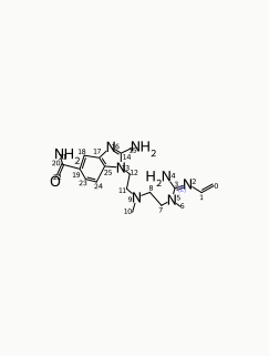 C=C/N=C(/N)N(C)CCN(C)CCn1c(N)nc2cc(C(N)=O)ccc21